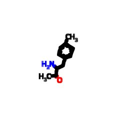 CC(=O)C(N)Cc1ccc(C)cc1